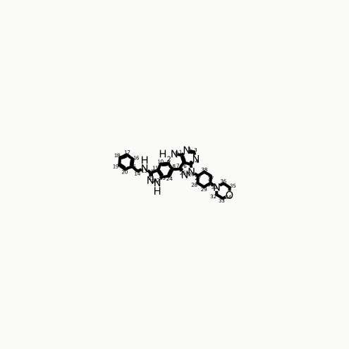 Nc1ncnc2c1c(-c1ccc3c(NCc4ccccc4)n[nH]c3c1)nn2C1CCC(N2CCOCC2)CC1